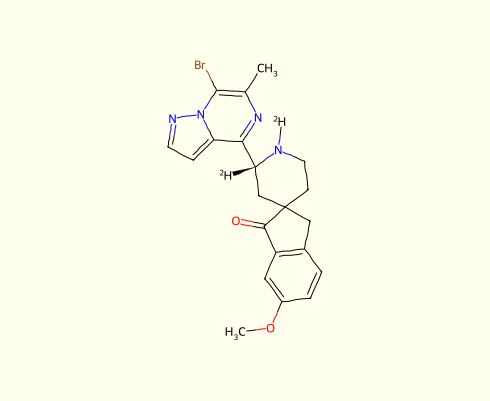 [2H]N1CCC2(Cc3ccc(OC)cc3C2=O)C[C@]1([2H])c1nc(C)c(Br)n2nccc12